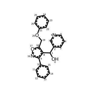 OC(c1cccnc1)c1c(-c2ccccc2)noc1COc1ccccc1